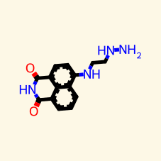 NNCCNc1ccc2c3c(cccc13)C(=O)NC2=O